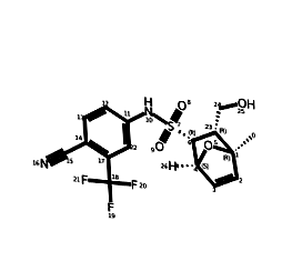 C[C@]12C=C[C@H](O1)[C@H](S(=O)(=O)Nc1ccc(C#N)c(C(F)(F)F)c1)[C@@H]2CO